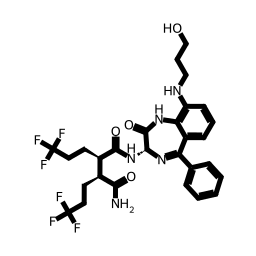 NC(=O)[C@@H](CCC(F)(F)F)[C@@H](CCC(F)(F)F)C(=O)N[C@H]1N=C(c2ccccc2)c2cccc(NCCCO)c2NC1=O